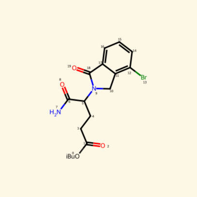 CC(C)COC(=O)CCC(C(N)=O)N1Cc2c(Br)cccc2C1=O